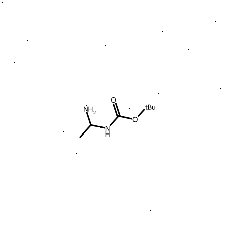 CC(N)NC(=O)OC(C)(C)C